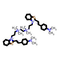 CN(C)c1ccc(/C=C/c2sc3ccccc3[n+]2CCC[N+](C)(C)CC[N+](C)(C)CCC[n+]2c(/C=C/c3ccc(N(C)C)cc3)sc3ccccc32)cc1